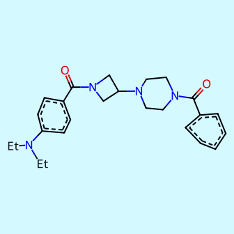 CCN(CC)c1ccc(C(=O)N2CC(N3CCN(C(=O)c4ccccc4)CC3)C2)cc1